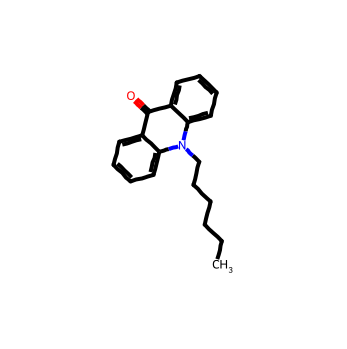 CCCCCCn1c2ccccc2c(=O)c2ccccc21